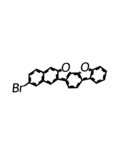 Brc1ccc2cc3oc4c(ccc5c6ccccc6oc54)c3cc2c1